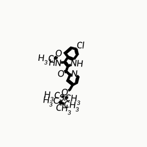 CC(=O)Nc1c(C(=O)c2cc(CO[Si](C)(C)C(C)(C)C)ccn2)[nH]c2cc(Cl)ccc12